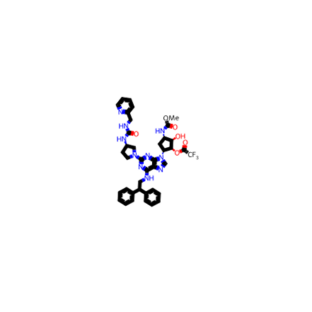 COC(=O)N[C@H]1C[C@@H](n2cnc3c(NCC(c4ccccc4)c4ccccc4)nc(N4CC[C@@H](NC(=O)NCc5ccccn5)C4)nc32)[C@H](OC(=O)C(F)(F)F)[C@@H]1O